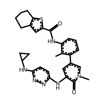 Cc1c(NC(=O)c2cc3c(s2)CCCC3)cccc1-c1cc(Nc2ccc(NC3CC3)nn2)c(=O)n(C)c1